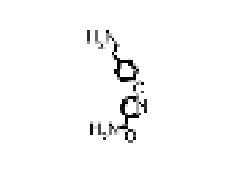 NCCc1ccc(Oc2ccc(C(N)=O)cn2)cc1